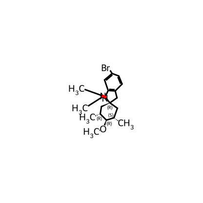 CO[C@H]1[C@H](C)C[C@@]2(Cc3ccc(Br)cc3C23N=C(C)C(C)=N3)C[C@@H]1C